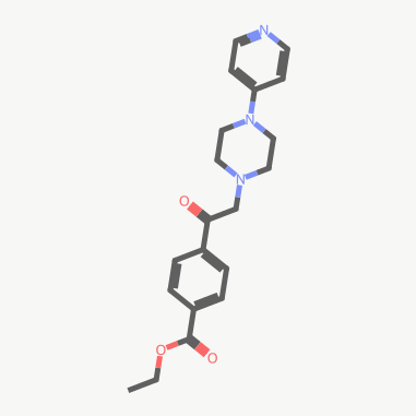 CCOC(=O)c1ccc(C(=O)CN2CCN(c3ccncc3)CC2)cc1